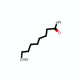 CCCC(=O)CCCCCCCC=O